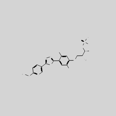 CC(C)Nc1ccc(-c2nnc(-c3cc(F)c(OC[C@@H](N)[C@H](C)OP(=O)(O)O)cc3Cl)s2)cn1